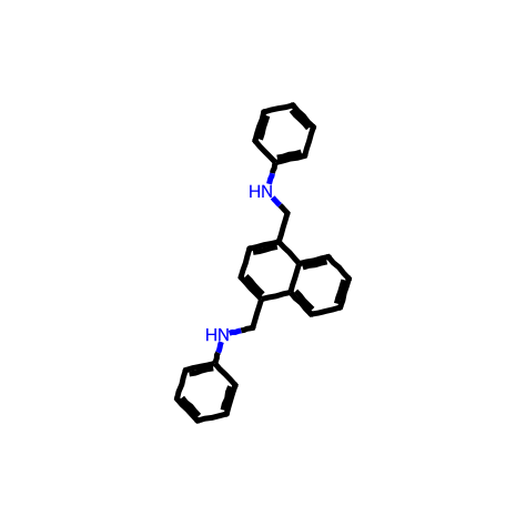 c1ccc(NCc2ccc(CNc3ccccc3)c3ccccc23)cc1